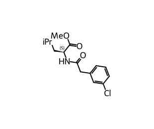 COC(=O)[C@H](CC(C)C)NC(=O)Cc1cccc(Cl)c1